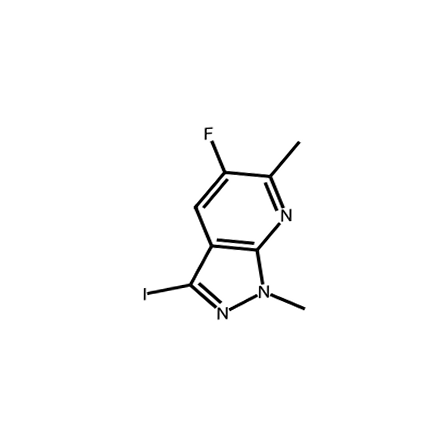 Cc1nc2c(cc1F)c(I)nn2C